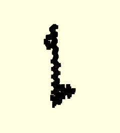 CCOC(=O)C=C(C=CCCCCCCOCc1cc(C(F)(F)F)cc(C(F)(F)F)c1)CF